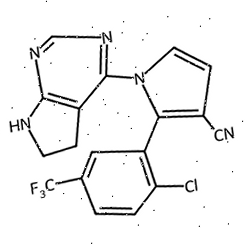 N#Cc1ccn(-c2ncnc3c2CCN3)c1-c1cc(C(F)(F)F)ccc1Cl